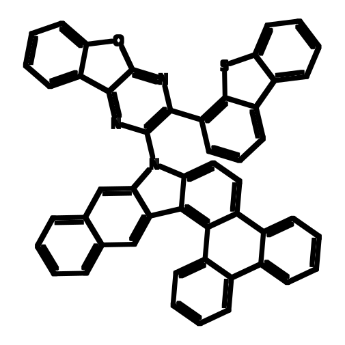 c1ccc2cc3c(cc2c1)c1c2c4ccccc4c4ccccc4c2ccc1n3-c1nc2c(nc1-c1cccc3c1sc1ccccc13)oc1ccccc12